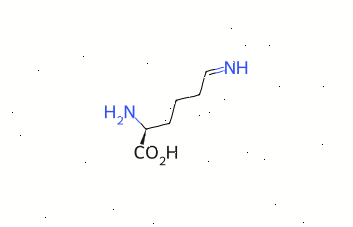 N=CCCC[C@H](N)C(=O)O